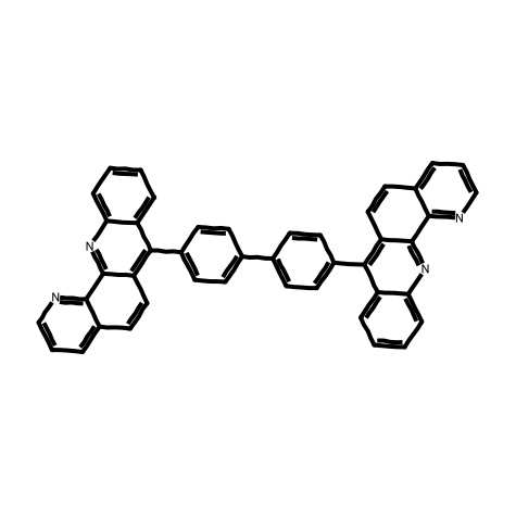 c1cnc2c(c1)ccc1c(-c3ccc(-c4ccc(-c5c6ccccc6nc6c5ccc5cccnc56)cc4)cc3)c3ccccc3nc12